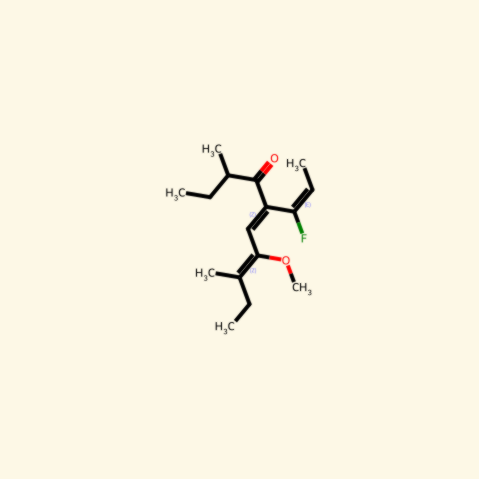 C\C=C(F)/C(=C\C(OC)=C(/C)CC)C(=O)C(C)CC